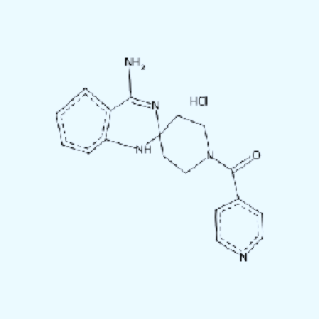 Cl.NC1=NC2(CCN(C(=O)c3ccncc3)CC2)Nc2ccccc21